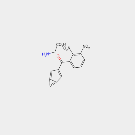 NCC(=O)O.O=C(c1cc2cc-2c1)c1cccc([N+](=O)[O-])c1[N+](=O)[O-]